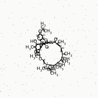 CO[C@H]1/C=C/O[C@@]2(C)Oc3c(C)c(O)c4c(=O)c(c5oc6cc(OC(C)C)ccc6nc-5c4c3C2=O)NC(=O)/C(C)=C\C=C\[C@H](C)[C@H](O)[C@@H](C)[C@@H](O)[C@@H](C)[C@H](OC(C)=O)[C@@H]1C